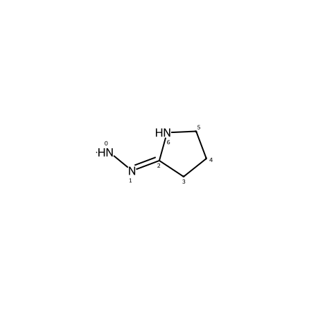 [NH]N=C1CCCN1